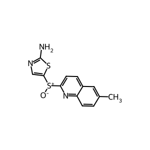 Cc1ccc2nc([S+]([O-])c3cnc(N)s3)ccc2c1